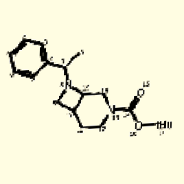 C[C@H](c1ccccc1)N1CC2CCN(C(=O)OC(C)(C)C)CC21